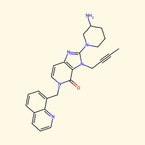 CC#CCn1c(N2CCCC(N)C2)nc2ccn(Cc3cccc4cccnc34)c(=O)c21